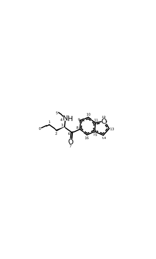 CCC[C@@H](NC)C(=O)c1ccc2occc2c1